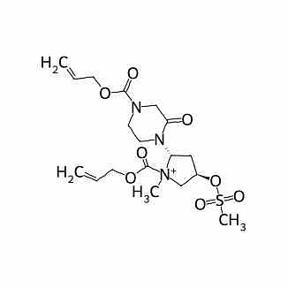 C=CCOC(=O)N1CCN([C@@H]2C[C@@H](OS(C)(=O)=O)C[N+]2(C)C(=O)OCC=C)C(=O)C1